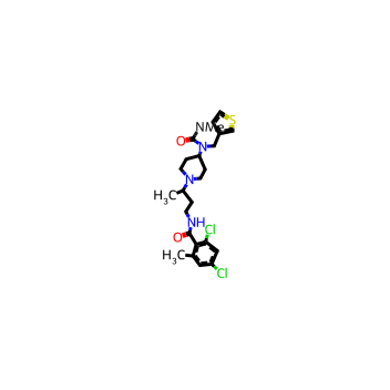 CNC(=O)N(Cc1ccsc1)C1CCN(C(C)CCNC(=O)c2c(C)cc(Cl)cc2Cl)CC1